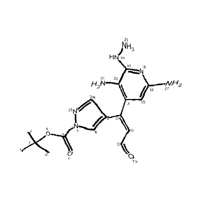 CC(C)(C)OC(=O)n1cc(/C(=C\C=O)c2cc(N)nc(NN)c2N)cn1